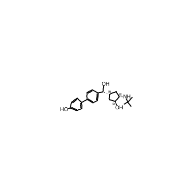 CC(C)(C)N[C@H]1C[C@@H](C(O)c2ccc(-c3ccc(O)cc3)cc2)C[C@@H]1O